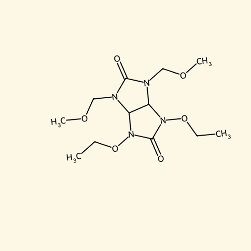 CCON1C(=O)N(OCC)C2C1N(COC)C(=O)N2COC